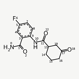 NC(=O)c1cc(F)ccc1NC(=O)C1CCCC(=O)C1